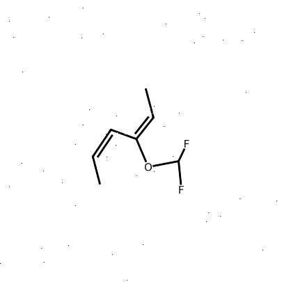 C/C=C\C(=C/C)OC(F)F